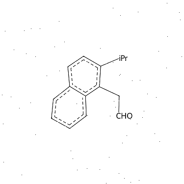 CC(C)c1ccc2ccccc2c1CC=O